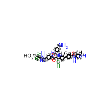 Cc1cc(C(=O)NC2CCNCC2(C)C)ccc1-c1ccc(C[C@H](NC(=O)[C@H]2CC[C@H](CN)CC2)C(=O)Nc2ccc(-c3nnc(C(F)(F)C(F)(F)C(=O)O)[nH]3)cc2)cc1.Cl